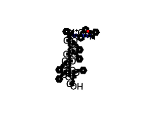 CC(CCC(=O)O)N(C(=O)OCc1ccccc1)C(=O)N(CCCN(C(=O)CCC(=O)N(CCCN(C(=O)CC1(C)C(/C=C/C2=C(Oc3ccccc3)C(=C/C=C3/N(C)c4ccccc4C3(C)C)/CCC2)=[N+](C)c2ccccc21)C(=O)OCc1ccccc1)C(=O)OCc1ccccc1)C(=O)OCc1ccccc1)C(=O)OCc1ccccc1